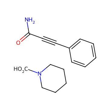 NC(=O)C#Cc1ccccc1.O=C(O)N1CCCCC1